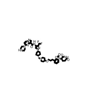 O=C1CCC(n2c(=O)oc3c(CCCOC4CCN(C[C@H]5CC[C@H](n6cc(NC(=O)c7cnn8ccc(N9CCNCC9)nc78)c(C(F)F)n6)CC5)CC4)cccc32)C(=O)N1